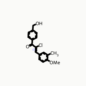 COc1ccc(/C=C(\Cl)C(=O)c2ccc(CO)cc2)cc1C